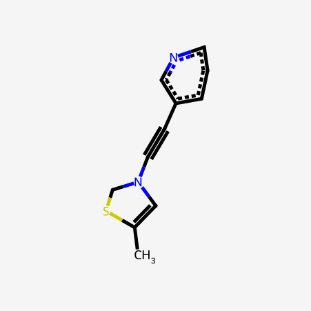 CC1=CN(C#Cc2cccnc2)CS1